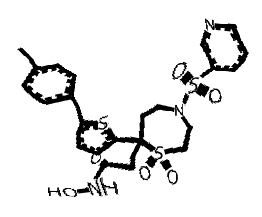 Cc1ccc(-c2ccc(C3(CC(=O)NO)CCN(S(=O)(=O)c4cccnc4)CCS3(=O)=O)s2)cc1